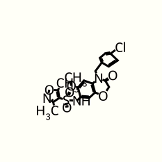 COc1cc2c(cc1NS(=O)(=O)c1c(C)noc1C)OCC(=O)N2Cc1ccc(Cl)cc1